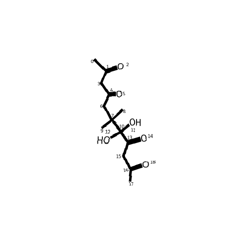 CC(=O)CC(=O)CC(C)(C)C(O)(O)C(=O)CC(C)=O